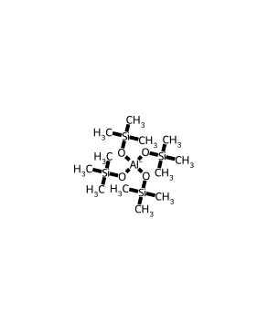 C[Si](C)(C)[O][Al-]([O][Si](C)(C)C)([O][Si](C)(C)C)[O][Si](C)(C)C